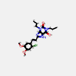 CCCn1c(=O)c2[nH]c(/C=C/c3cc(OC)c(OC)cc3Br)nc2n(CCC)c1=O